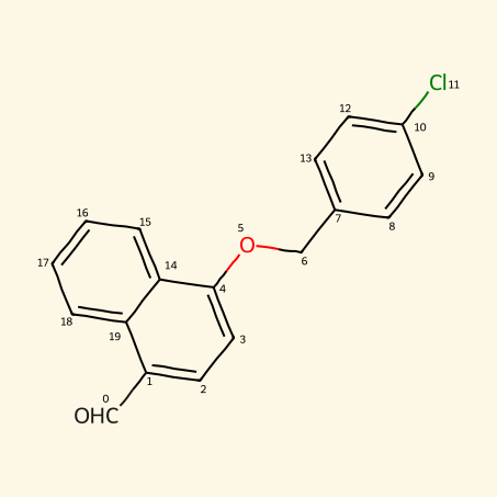 O=Cc1ccc(OCc2ccc(Cl)cc2)c2ccccc12